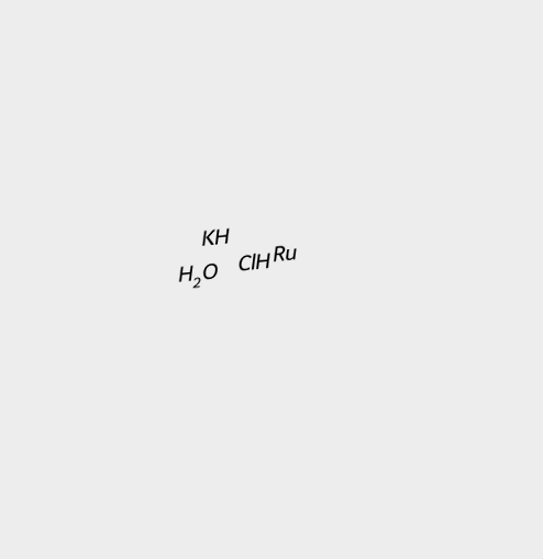 Cl.O.[KH].[Ru]